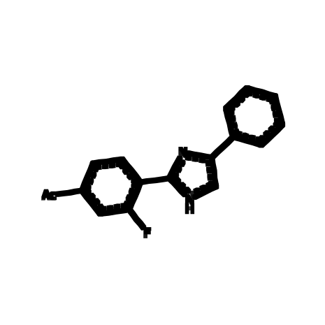 CC(=O)c1ccc(-c2nc(-c3ccccc3)c[nH]2)c(F)c1